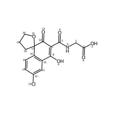 O=C(O)CNC(=O)C1=C(O)c2cc(Cl)ccc2C2(CCCO2)C1=O